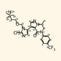 CC1CN(c2ccc(C(F)(F)F)cc2)C(=O)c2c(-c3cnc(Cl)n3COCC[SH](C)(C)(C)C)cnn21